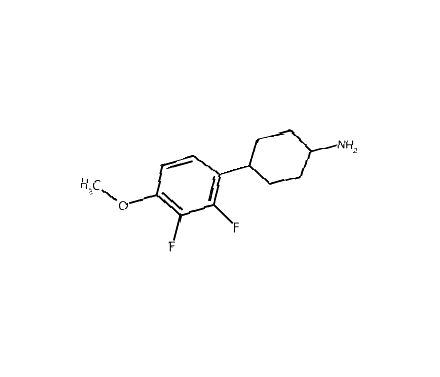 COc1ccc(C2CCC(N)CC2)c(F)c1F